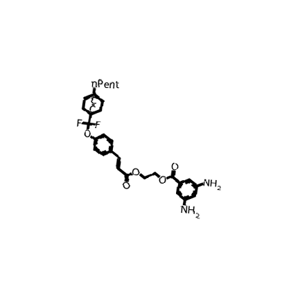 CCCCCC12CCC(C(F)(F)Oc3ccc(C=CC(=O)OCCOC(=O)c4cc(N)cc(N)c4)cc3)(CC1)CC2